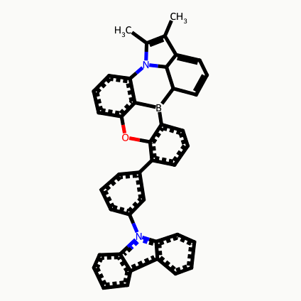 CC1=C(C)N2c3cccc4c3B(c3cccc(-c5cccc(-n6c7ccccc7c7ccccc76)c5)c3O4)C3C=CC=C1C32